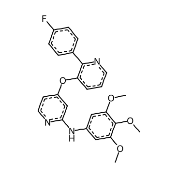 COc1cc(Nc2cc(Oc3cccnc3-c3ccc(F)cc3)ccn2)cc(OC)c1OC